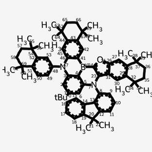 CC(C)(C)c1cc2c3c(c1)N(c1cccc4c1-c1ccccc1C4(C)C)c1c(oc4cc5c(cc14)C(C)(C)CCC5(C)C)B3c1cc3c(cc1N2c1ccc2c(c1)C(C)(C)CCC2(C)C)C(C)(C)CCC3(C)C